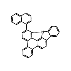 c1ccc2c(-c3ccc4c5ccccc5c5ccc6c7ccccc7n7c3c4c5c67)cccc2c1